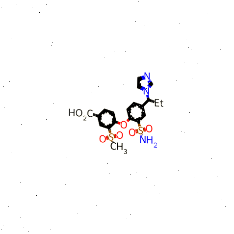 CCC(c1ccc(Oc2ccc(C(=O)O)cc2S(C)(=O)=O)c(S(N)(=O)=O)c1)n1ccnc1